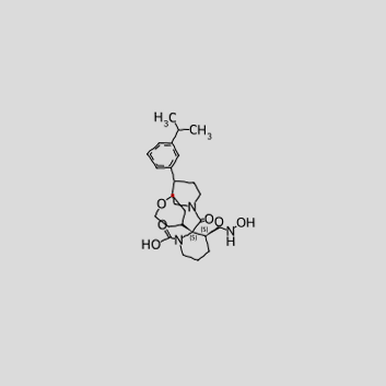 CC(C)c1cccc(C2CCN(C(=O)[C@]3(C4CCOCC4)[C@@H](C(=O)NO)CCCN3C(=O)O)CC2)c1